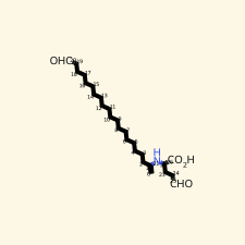 C=C(CCCCCCCCCCCCCCCCCCC=O)NC(CCC=O)C(=O)O